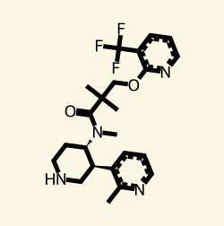 Cc1ncccc1[C@H]1CNCC[C@@H]1N(C)C(=O)C(C)(C)COc1ncccc1C(F)(F)F